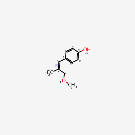 COC/C(C)=C\c1ccc(O)cc1